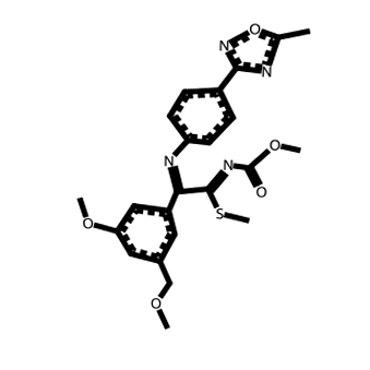 COCc1cc(OC)cc(C(=Nc2ccc(-c3noc(C)n3)cc2)C(=NC(=O)OC)SC)c1